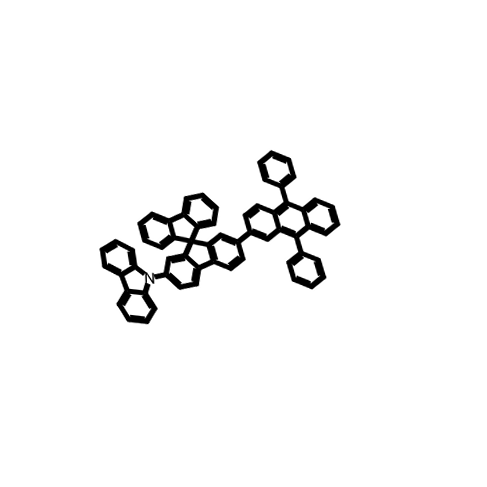 c1ccc(-c2c3ccccc3c(-c3ccccc3)c3cc(-c4ccc5c(c4)C4(c6ccccc6-c6ccccc64)c4cc(-n6c7ccccc7c7ccccc76)ccc4-5)ccc23)cc1